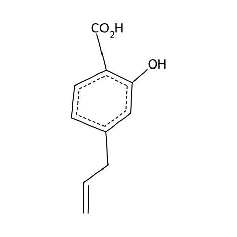 C=CCc1ccc(C(=O)O)c(O)c1